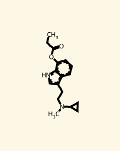 CCC(=O)Oc1cccc2c(CCN(C)C3CC3)c[nH]c12